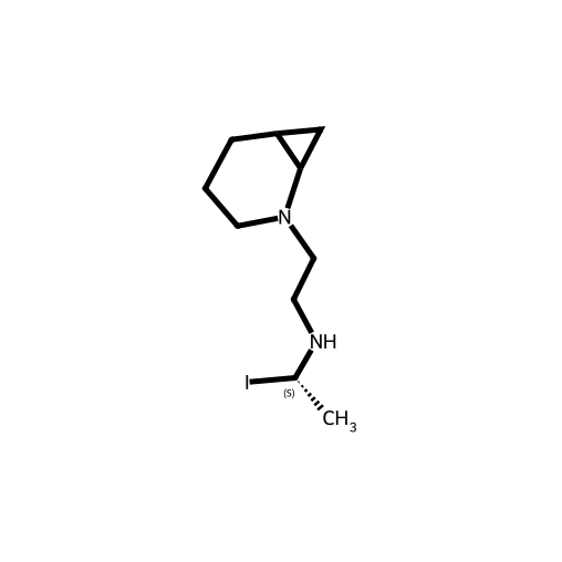 C[C@H](I)NCCN1CCCC2CC21